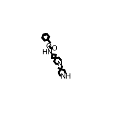 CC1(CN2CCC3(CC2)CC(NC(=O)OCc2ccccc2)C3)CCNCC1